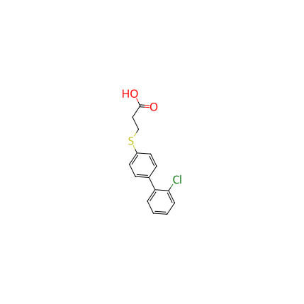 O=C(O)CCSc1ccc(-c2ccccc2Cl)cc1